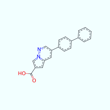 O=C(O)c1cc2cc(-c3ccc(-c4ccccc4)cc3)cnn2c1